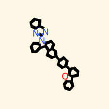 c1ccc2nc(-n3c4ccccc4c4c5ccc(-c6ccc(-c7cccc8c7oc7ccccc78)cc6)cc5ccc43)ncc2c1